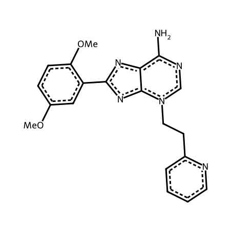 COc1ccc(OC)c(-c2nc3c(N)ncn(CCc4ccccn4)c-3n2)c1